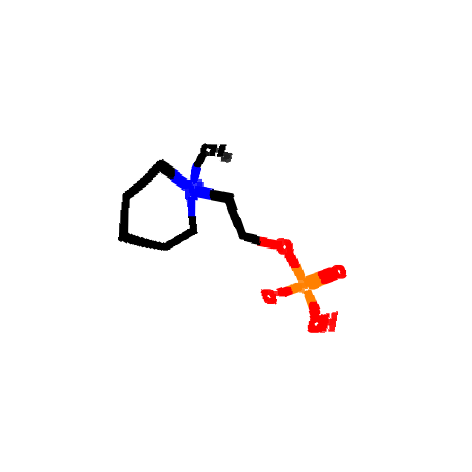 C[N+]1(CCOP(=O)([O-])O)CCCCC1